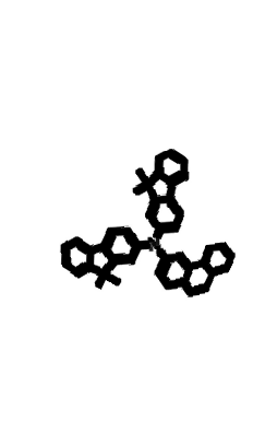 CC1(C)c2ccccc2-c2ccc(N(c3ccc4c(c3)C(C)(C)c3ccccc3-4)c3ccc4ccc5ccccc5c4c3)cc21